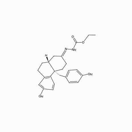 CCOC(=O)NN=C1CC[C@@]2(Cc3ccc(O)cc3)c3ccc(O)cc3CC[C@@H]2C1